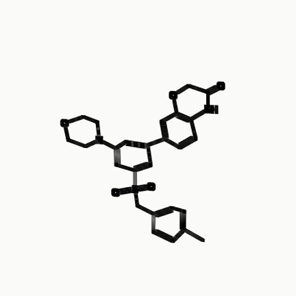 Cc1ccc(CS(=O)(=O)c2cc(-c3ccc4c(c3)OCC(=O)N4)cc(N3CCOCC3)c2)cc1